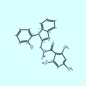 Cc1cc(C)c(C(=O)N(Cc2nc3ccccc3n2-c2ccccc2Cl)C(C)C)c(C)c1